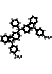 O=C(O)c1ccc(-n2c3ccccc3c3cc(N(c4ccccc4)c4ccc5c(c4)c4ccccc4n5-c4ccc(C(=O)O)cc4)ccc32)cc1